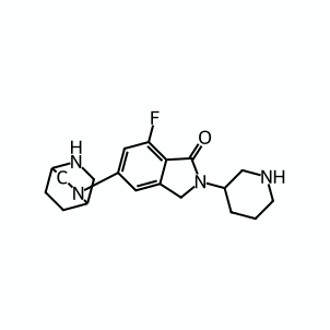 O=C1c2c(F)cc(N3CC4CCC3CN4)cc2CN1C1CCCNC1